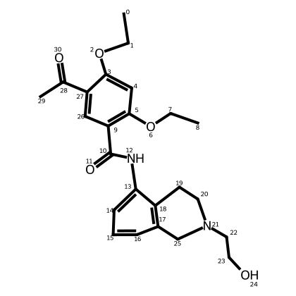 CCOc1cc(OCC)c(C(=O)Nc2cccc3c2CCN(CCO)C3)cc1C(C)=O